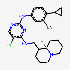 N#Cc1cc(Nc2ncc(Cl)c(NCC3CCCN4CCCC[C@H]34)n2)ccc1C1CC1